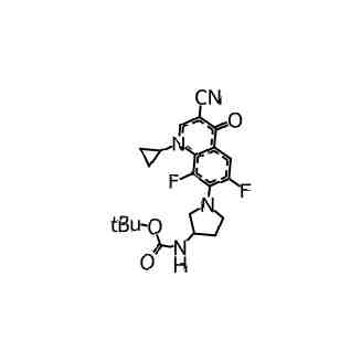 CC(C)(C)OC(=O)NC1CCN(c2c(F)cc3c(=O)c(C#N)cn(C4CC4)c3c2F)C1